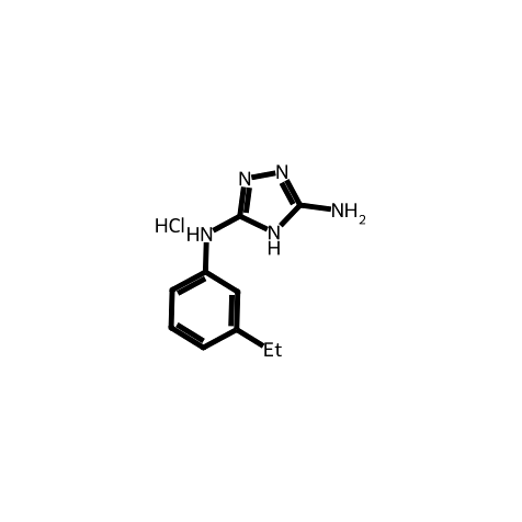 CCc1cccc(Nc2nnc(N)[nH]2)c1.Cl